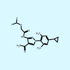 Cc1cc(C2CC2)cc(C)c1-n1cc(C(N)=O)c(NC(=O)COC(F)F)n1